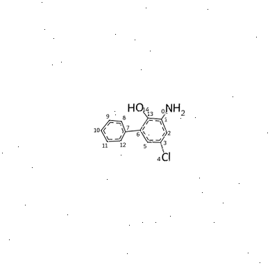 Nc1cc(Cl)cc(-c2ccccc2)c1O